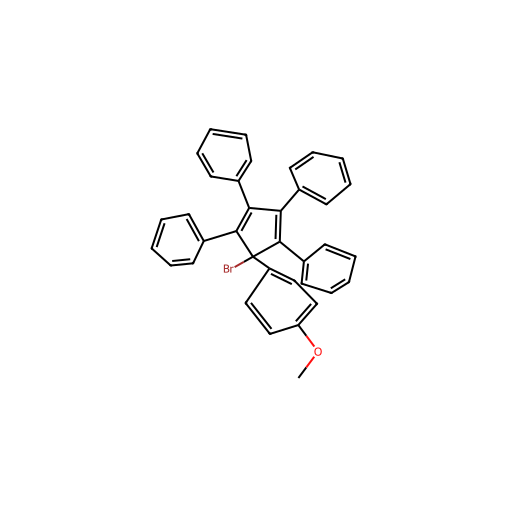 COc1ccc(C2(Br)C(c3ccccc3)=C(c3ccccc3)C(c3ccccc3)=C2c2ccccc2)cc1